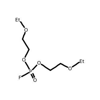 CCOCCOP(=O)(F)OCCOCC